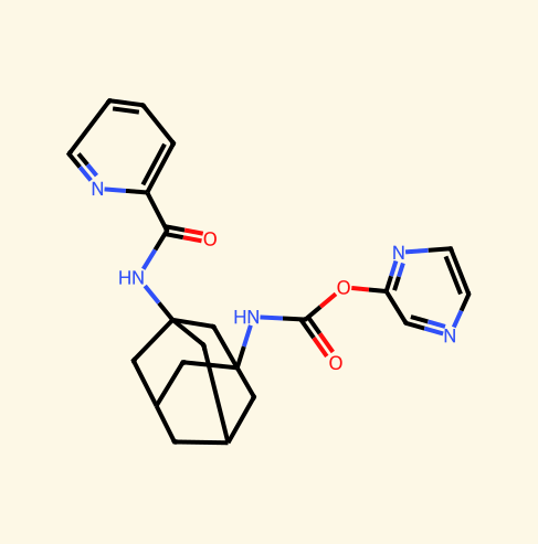 O=C(NC12CC3CC(C1)CC(NC(=O)c1ccccn1)(C3)C2)Oc1cnccn1